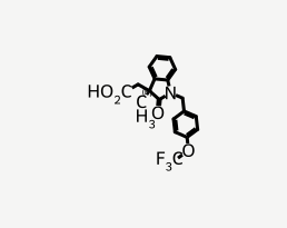 C[C@]1(CC(=O)O)C(=O)N(Cc2ccc(OC(F)(F)F)cc2)c2ccccc21